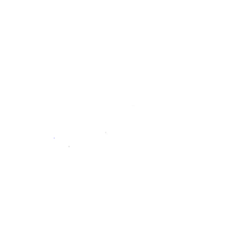 CC(=O)c1ccn(C(=O)N2C[C@H]3C[C@H](Oc4cccc(-c5ncco5)c4)C[C@H]3C2)n1